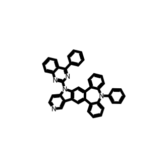 c1ccc(-c2nc(-n3c4ccncc4c4cc5c(cc43)-c3ccccc3N(c3ccccc3)c3ccccc3-5)nc3ccccc23)cc1